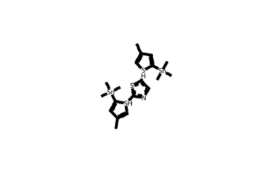 CC1=C[SH](c2cnc([SH]3C=C(C)C=[C]3[Sn]([CH3])([CH3])[CH3])s2)[C]([Sn]([CH3])([CH3])[CH3])=C1